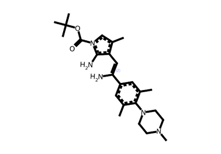 Cc1cn(C(=O)OC(C)(C)C)c(N)c1/C=C(\N)c1cc(C)c(N2CCN(C)CC2)c(C)c1